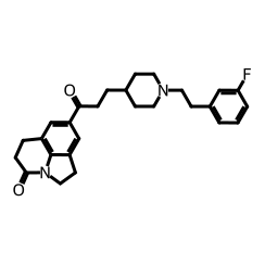 O=C(CCC1CCN(CCc2cccc(F)c2)CC1)c1cc2c3c(c1)CCN3C(=O)CC2